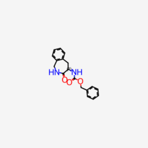 O=C(N[C@@H]1Cc2ccccc2CNC1=O)OCc1ccccc1